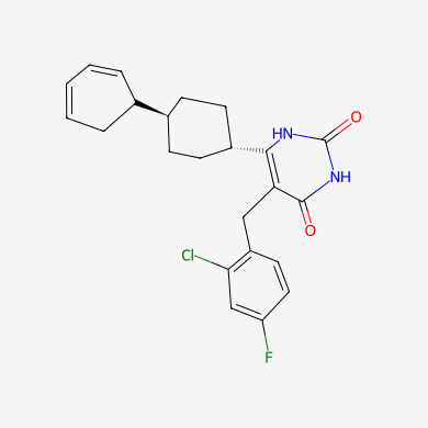 O=c1[nH]c(=O)c(Cc2ccc(F)cc2Cl)c([C@H]2CC[C@H](C3C=CC=CC3)CC2)[nH]1